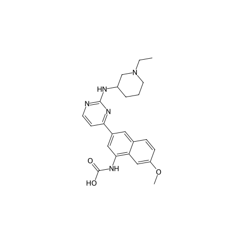 CCN1CCCC(Nc2nccc(-c3cc(NC(=O)O)c4cc(OC)ccc4c3)n2)C1